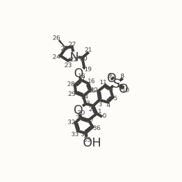 CC1=C(c2ccc(S(C)(=O)=O)cc2)C(c2ccc(OCC(C)N3CC[C@@H](C)C3)cc2)Oc2ccc(O)cc21